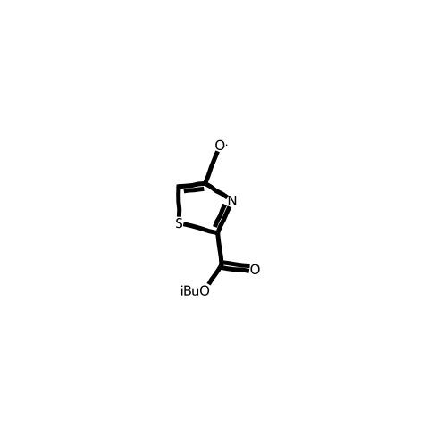 CC(C)COC(=O)c1nc([O])cs1